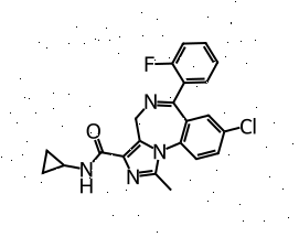 Cc1nc(C(=O)NC2CC2)c2n1-c1ccc(Cl)cc1C(c1ccccc1F)=NC2